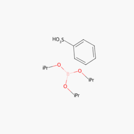 CC(C)OB(OC(C)C)OC(C)C.O=S(=O)(O)c1ccccc1